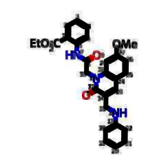 CCOC(=O)c1ccccc1NC(=O)Cn1c(=O)c(CNc2ccccc2)cc2ccc(OC)cc21